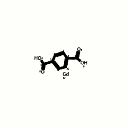 O=C(O)c1ccc(C(=O)O)cc1.[Gd]